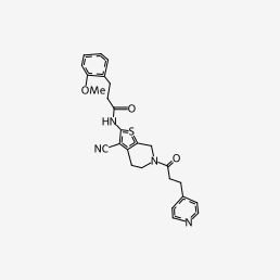 COc1ccccc1CCC(=O)Nc1sc2c(c1C#N)CCN(C(=O)CCc1ccncc1)C2